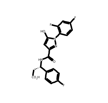 O=C(O)C[C@H](NC(=O)c1cc(O)n(-c2ccc(F)cc2F)n1)c1ccc(F)cc1